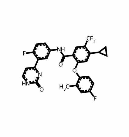 Cc1cc(F)ccc1Oc1cc(C2CC2)c(C(F)(F)F)cc1C(=O)Nc1ccc(F)c(-c2cc[nH]c(=O)n2)c1